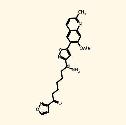 COc1cc2nc(C)ccc2cc1-c1cc([C@@H](N)CCCCCC(=O)c2ccon2)no1